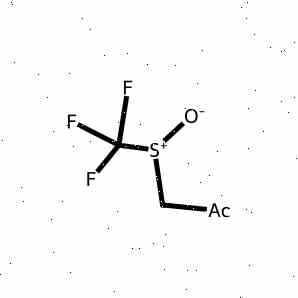 CC(=O)C[S+]([O-])C(F)(F)F